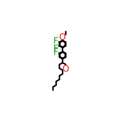 CCCCCCCC1CCC(c2ccc(-c3ccc(OCC)c(F)c3F)c(F)c2)CO1